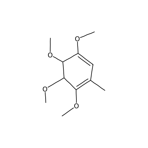 COC1=CC(C)=C(OC)C(OC)C1OC